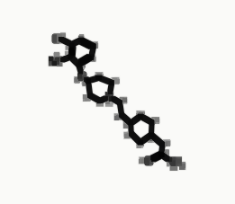 N#Cc1c(Cl)cccc1OC1CCN(CCC2CCC(CC(N)=O)CC2)CC1